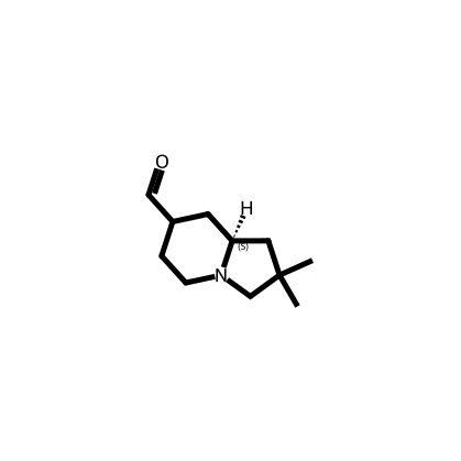 CC1(C)C[C@@H]2CC(C=O)CCN2C1